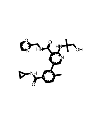 Cc1ccc(C(=O)NC2CC2)cc1-c1cnc(NC(C)(C)CO)c(C(=O)NCc2ncco2)c1